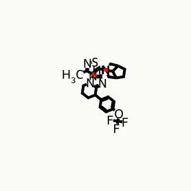 Cc1cc(N2CC3CCC(C2)C3Nc2nc3n(n2)CCCC3c2ccc(OC(F)(F)F)cc2)sn1